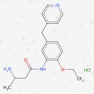 CC(N)CC(=O)Nc1cc(Cc2ccncc2)ccc1OCC(F)(F)F.Cl